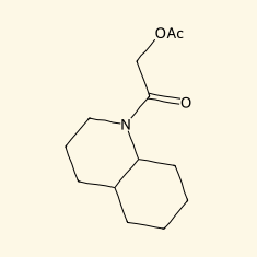 CC(=O)OCC(=O)N1CCCC2CCCCC21